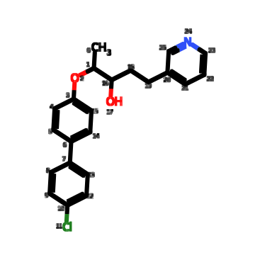 CC(Oc1ccc(-c2ccc(Cl)cc2)cc1)C(O)CCc1cccnc1